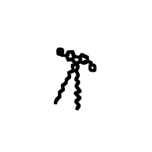 CCCCCCCCCCCCC1(CCCCCCCCCCCC)c2cc(C=O)ccc2-c2ccc(C=O)cc21